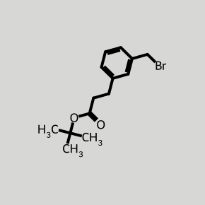 CC(C)(C)OC(=O)CCc1cccc(CBr)c1